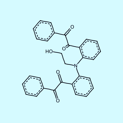 O=C(C(=O)c1ccccc1N(CCO)c1ccccc1C(=O)C(=O)c1ccccc1)c1ccccc1